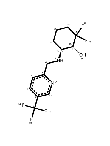 O[C@@H]1[C@@H](NCc2ccc(C(F)(F)F)cn2)CCCC1(F)F